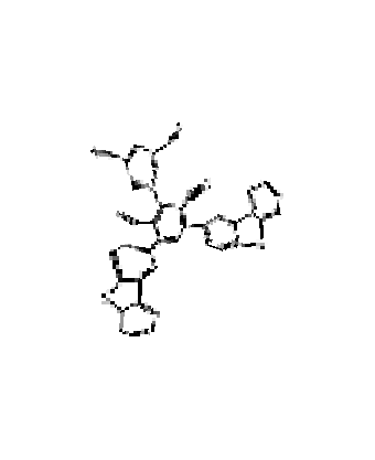 N#Cc1cc(C#N)cc(-c2c(C#N)c(-c3ccc4sc5ccccc5c4c3)cc(-c3ccc4sc5ccccc5c4c3)c2C#N)c1